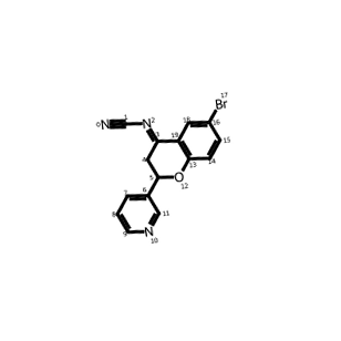 N#CN=C1CC(c2cccnc2)Oc2ccc(Br)cc21